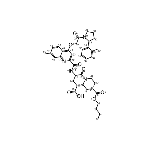 CCCCOC(=O)N1CCN(C(=O)C(CCC(=O)O)NC(=O)c2cc(OCC(=O)N3CCCC3c3ccccc3C)c3ccc(C)cc3n2)CC1